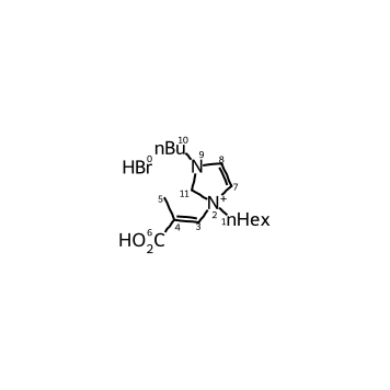 Br.CCCCCC[N+]1(C=C(C)C(=O)O)C=CN(CCCC)C1